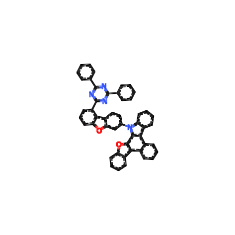 c1ccc(-c2nc(-c3ccccc3)nc(-c3cccc4oc5cc(-n6c7ccccc7c7c8ccccc8c8c9ccccc9oc8c76)ccc5c34)n2)cc1